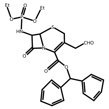 CCOP(=O)(NC1C(=O)N2C(C(=O)OC(c3ccccc3)c3ccccc3)=C(CC=O)CSC12)OCC